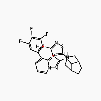 Cc1cc(N2CC3CCC(C2)C3Nc2nc3c(-c4cc(F)c(F)c(F)c4)cccn3n2)sn1